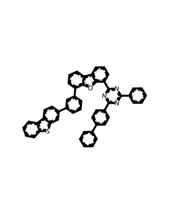 c1ccc(-c2ccc(-c3nc(-c4ccccc4)nc(-c4cccc5c4oc4c(-c6cccc(-c7ccc8c(c7)sc7ccccc78)c6)cccc45)n3)cc2)cc1